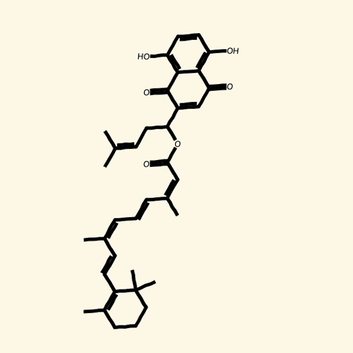 CC(C)=CCC(OC(=O)/C=C(/C)C=CC=C(C)C=CC1=C(C)CCCC1(C)C)C1=CC(=O)c2c(O)ccc(O)c2C1=O